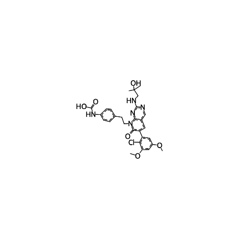 COc1cc(OC)c(Cl)c(-c2cc3cnc(NCC(C)(C)O)nc3n(CCc3ccc(NC(=O)O)cc3)c2=O)c1